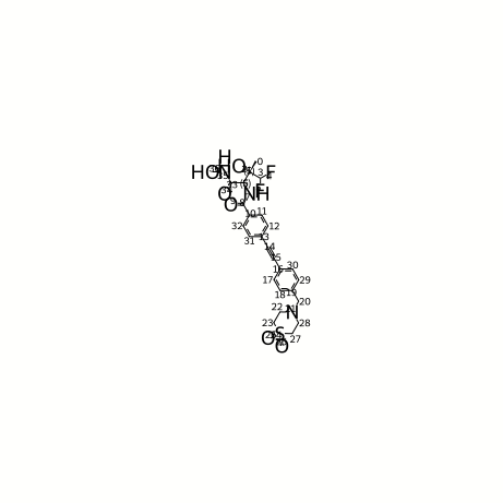 C[C@@](O)(C(F)F)[C@H](NC(=O)c1ccc(C#Cc2ccc(CN3CCS(=O)(=O)CC3)cc2)cc1)C(=O)NO